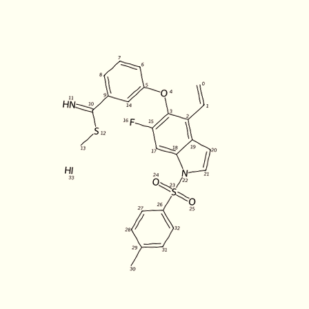 C=Cc1c(Oc2cccc(C(=N)SC)c2)c(F)cc2c1ccn2S(=O)(=O)c1ccc(C)cc1.I